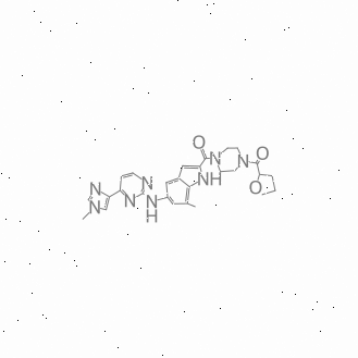 Cc1cc(Nc2nccc(-c3cn(C)cn3)n2)cc2cc(C(=O)N3CCN(C(=O)C4CCCO4)CC3)[nH]c12